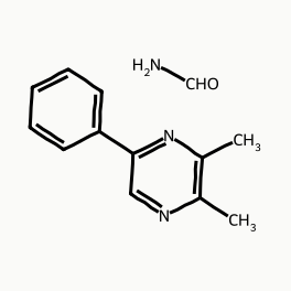 Cc1ncc(-c2ccccc2)nc1C.NC=O